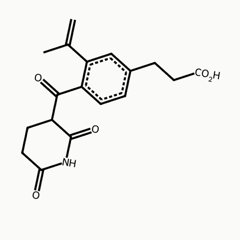 C=C(C)c1cc(CCC(=O)O)ccc1C(=O)C1CCC(=O)NC1=O